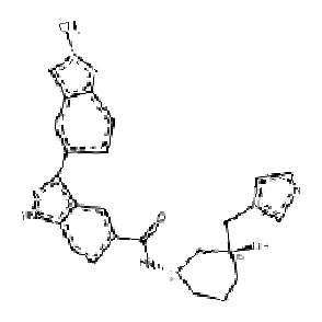 Cn1cc2cc(-c3n[nH]c4ccc(C(=O)N[C@H]5CCC[C@@](O)(Cn6ccnc6)C5)cc34)ccc2n1